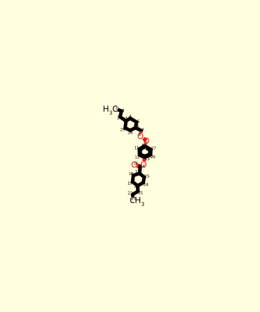 CCCC1CCC(COOc2ccc(OC(=O)C3CCC(CCC)CC3)cc2)CC1